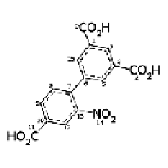 O=C(O)c1cc(C(=O)O)cc(-c2ccc(C(=O)O)cc2[N+](=O)[O-])c1